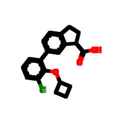 O=C(O)C1CCc2ccc(-c3cccc(Cl)c3OC3CCC3)cc21